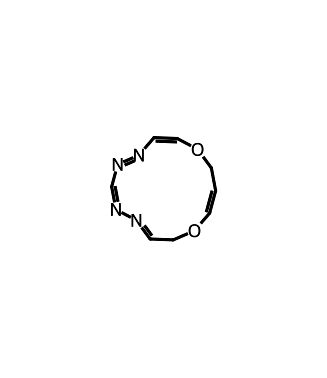 C1=C\OC/C=N/N=C\N=N\C=C/OC/1